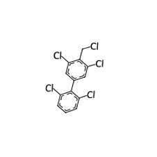 ClCc1c(Cl)cc(-c2c(Cl)cccc2Cl)cc1Cl